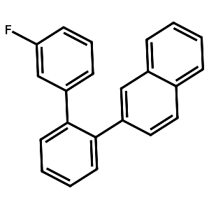 Fc1cccc(-c2ccccc2-c2ccc3ccccc3c2)c1